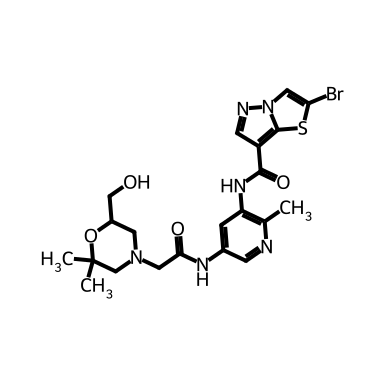 Cc1ncc(NC(=O)CN2CC(CO)OC(C)(C)C2)cc1NC(=O)c1cnn2cc(Br)sc12